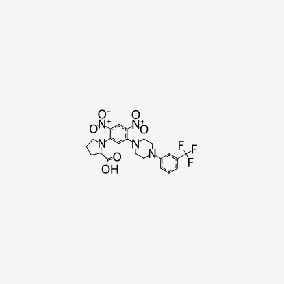 O=C(O)C1CCCN1c1cc(N2CCN(c3cccc(C(F)(F)F)c3)CC2)c([N+](=O)[O-])cc1[N+](=O)[O-]